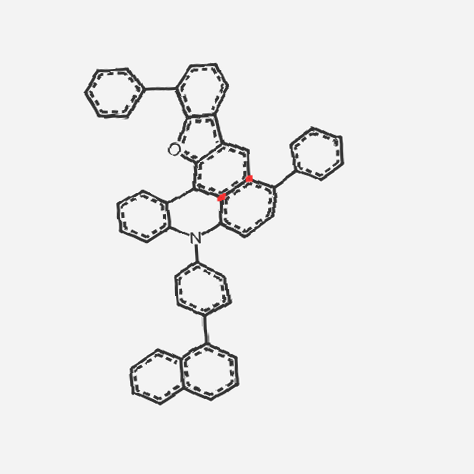 c1ccc(-c2ccc(N(c3ccc(-c4cccc5ccccc45)cc3)c3ccccc3-c3cccc4c3oc3c(-c5ccccc5)cccc34)cc2)cc1